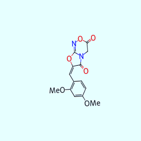 COc1ccc(/C=c2/oc3n(c2=O)CC(=O)ON=3)c(OC)c1